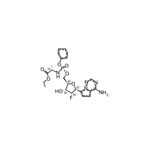 CCOC(=O)[C@H](C)NP(=O)(OC[C@H]1O[C@@H](c2ccc3c(N)ncnn23)[C@H](F)[C@@H]1O)Oc1ccccc1